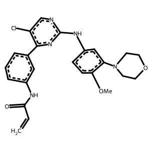 C=CC(=O)Nc1cccc(-c2nc(Nc3ccc(OC)c(N4CCOCC4)c3)ncc2Cl)c1